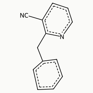 N#Cc1cccnc1Cc1ccccc1